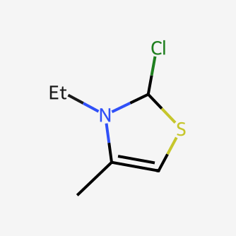 CCN1C(C)=CSC1Cl